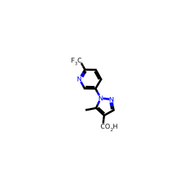 Cc1c(C(=O)O)cnn1-c1ccc(C(F)(F)F)nc1